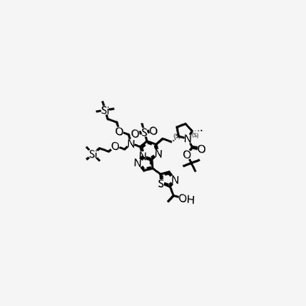 CC(O)c1ncc(-c2cnn3c(N(COCC[Si](C)(C)C)COCC[Si](C)(C)C)c(S(C)(=O)=O)c(CC[C@@H]4CC[C@H](C)N4C(=O)OC(C)(C)C)nc23)s1